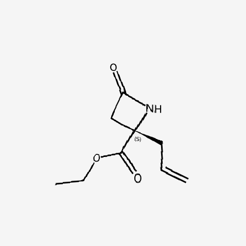 C=CC[C@@]1(C(=O)OCC)CC(=O)N1